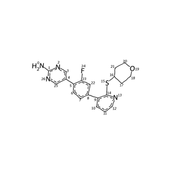 Nc1ncc(-c2ccc(-c3cccnc3SC3CCOCC3)cc2F)cn1